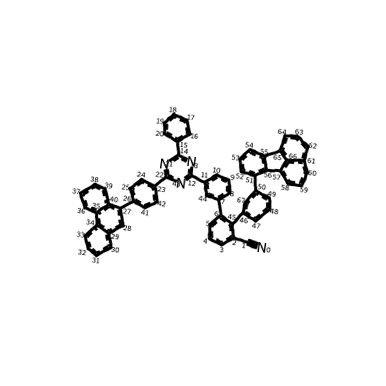 N#Cc1cccc(-c2cccc(-c3nc(-c4ccccc4)nc(-c4ccc(-c5cc6ccccc6c6ccccc56)cc4)n3)c2)c1-c1cccc(-c2cccc3c2-c2cccc4cccc-3c24)c1